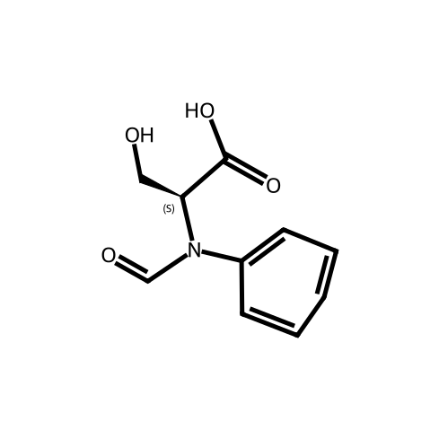 O=CN(c1ccccc1)[C@@H](CO)C(=O)O